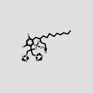 CCCCCCCCCC(CCC#N)Cc1cc(C(Cn2cncn2)(Cn2cncn2)OP(=O)(O)O)c(F)cc1F